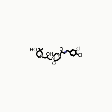 CC1(C)CN(CC(O)CN2CCN(C(=O)/C=C/c3ccc(Cl)c(Cl)c3)CCC2=O)CCC1O